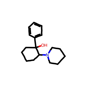 OC1(c2ccccc2)CCCCC1N1CCCCC1